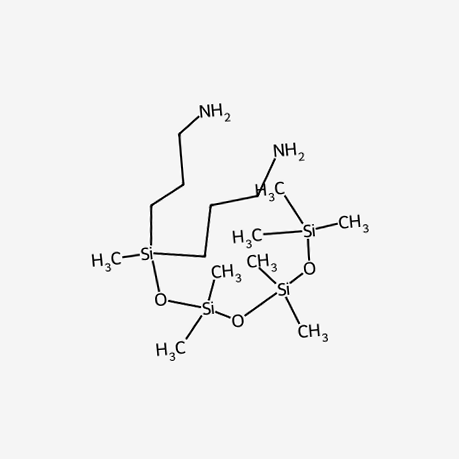 C[Si](C)(C)O[Si](C)(C)O[Si](C)(C)O[Si](C)(CCCN)CCCN